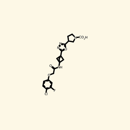 O=C(COc1ccc(Cl)c(F)c1)NC12CC(c3nnc(C4CCN(C(=O)O)C4)o3)(C1)C2